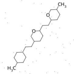 CC1CCC(CCC2CCC(CCC3CCC(C)CO3)OC2)CC1